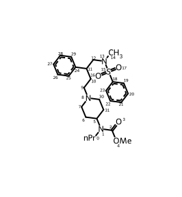 CCCN(C(=O)OC)C1CCN(CCC(CN(C)S(=O)(=O)c2ccccc2)c2ccccc2)CC1